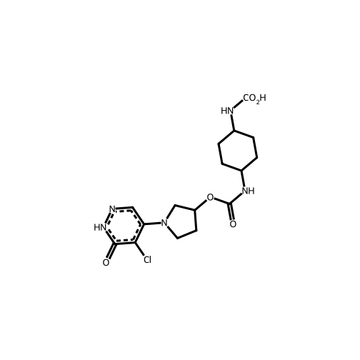 O=C(O)NC1CCC(NC(=O)OC2CCN(c3cn[nH]c(=O)c3Cl)C2)CC1